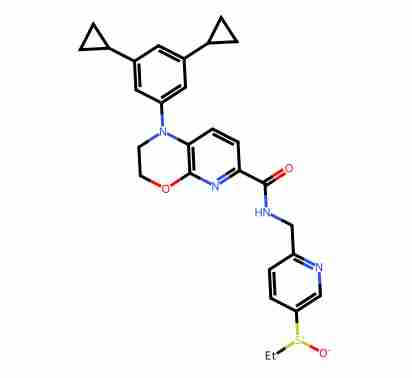 CC[S+]([O-])c1ccc(CNC(=O)c2ccc3c(n2)OCCN3c2cc(C3CC3)cc(C3CC3)c2)nc1